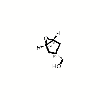 OC[C@@H]1C[C@@H]2O[C@@H]2C1